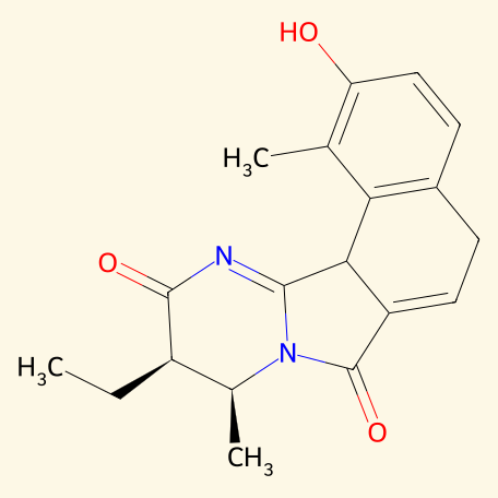 CC[C@H]1C(=O)N=C2C3C(=CCc4ccc(O)c(C)c43)C(=O)N2[C@H]1C